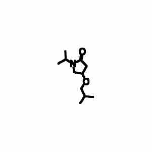 CC(C)COC1CC(=O)N(C(C)C)C1